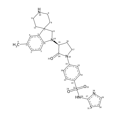 Cc1ccc2c(c1)C1(CCNCC1)CN2[C@H]1CCN(c2ccc(S(=O)(=O)Nc3nccs3)cc2)C1=O